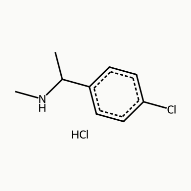 CNC(C)c1ccc(Cl)cc1.Cl